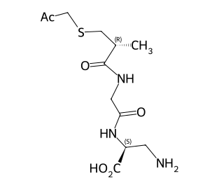 CC(=O)CSC[C@H](C)C(=O)NCC(=O)N[C@@H](CN)C(=O)O